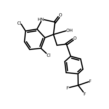 O=C(CC1(O)C(=O)Nc2c(Cl)ccc(Cl)c21)c1ccc(C(F)(F)F)cc1